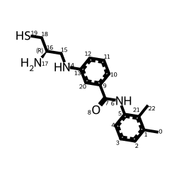 Cc1cccc(NC(=O)c2cccc(NC[C@@H](N)CS)c2)c1C